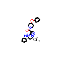 O=C(c1cnn2c1N[C@@H](c1ccccc1)C[C@H]2C(F)(F)F)N1CCC(Oc2ccccc2)CC1